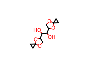 OC(C1COC2(CC2)O1)C(O)C1COC2(CC2)O1